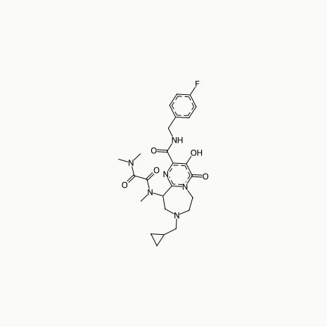 CN(C)C(=O)C(=O)N(C)C1CN(CC2CC2)CCn2c1nc(C(=O)NCc1ccc(F)cc1)c(O)c2=O